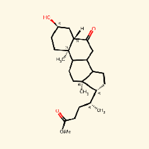 COC(=O)CC[C@@H](C)[C@H]1CCC2C3CC(=O)[C@H]4C[C@H](O)CC[C@]4(C)C3CC[C@@]21C